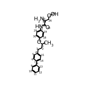 CC(CCc1ccc(-c2ccccc2)cc1)Oc1ccc(NC(=O)[C@@H](N)COO)cc1